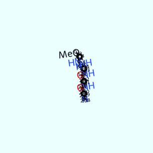 COc1cccc(Nc2nc3cc(NC(=O)c4ccc(NC(=O)c5ccc(N(C)C)cc5)cc4)ccc3[nH]2)c1